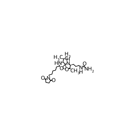 CC(=O)[C@H](CCCNC(N)=O)NC(=O)[C@@H](NC(=O)CCCCCN1C(=O)CCC1=O)C(C)C